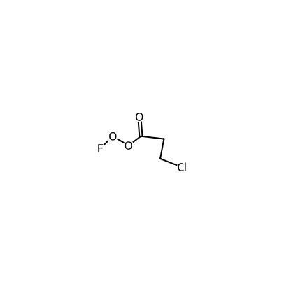 O=C(CCCl)OOF